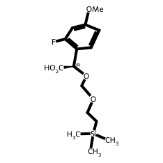 COc1ccc([C@@H](OCOCC[Si](C)(C)C)C(=O)O)c(F)c1